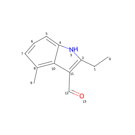 CCc1[nH]c2cccc(C)c2c1C=O